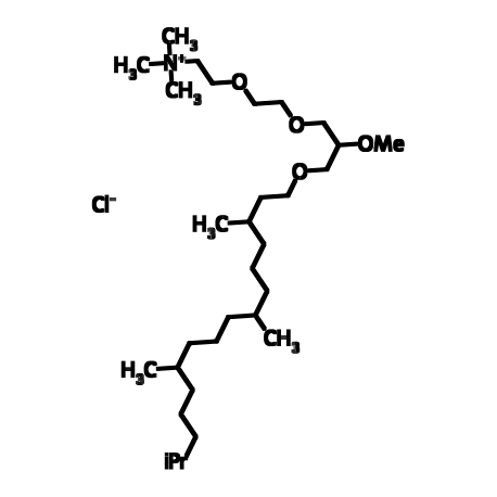 COC(COCCOCC[N+](C)(C)C)COCCC(C)CCCC(C)CCCC(C)CCCC(C)C.[Cl-]